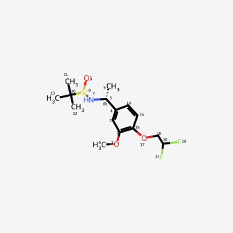 COc1cc([C@@H](C)N[S+]([O-])C(C)(C)C)ccc1OCC(F)F